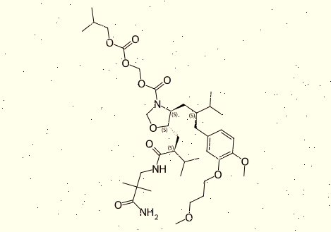 COCCCOc1cc(C[C@@H](C[C@H]2[C@H](C[C@H](C(=O)NCC(C)(C)C(N)=O)C(C)C)OCN2C(=O)OCOC(=O)OCC(C)C)C(C)C)ccc1OC